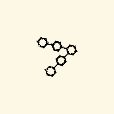 c1cncc(-c2ccc(-c3ccccc3-c3ccc(-c4cccnc4)cc3)cc2)c1